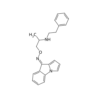 CC(CON=C1c2ccccc2-n2cccc21)NCCc1ccccc1